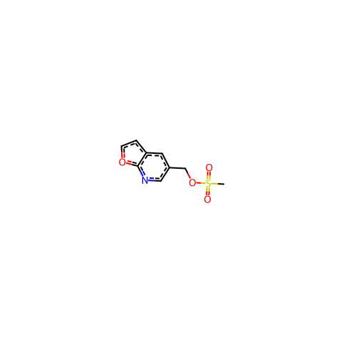 CS(=O)(=O)OCc1cnc2occc2c1